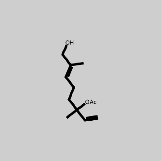 C=CC(C)(CC/C=C(\C)CO)OC(C)=O